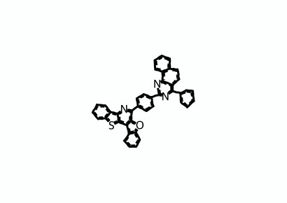 c1ccc(-c2nc(-c3ccc(-c4nc5c6ccccc6sc5c5c4oc4ccccc45)cc3)nc3c2ccc2ccccc23)cc1